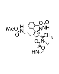 COC(=O)NCCCc1cc([C@@H](C)N(C(=O)[C@H]2CNCCO2)C2CC2)sc1-c1ccccc1-c1n[nH]c(=O)o1